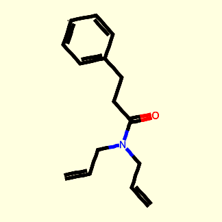 C=CCN(CC=C)C(=O)CCc1cc[c]cc1